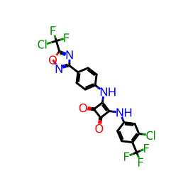 O=c1c(Nc2ccc(-c3noc(C(F)(F)Cl)n3)cc2)c(Nc2ccc(C(F)(F)F)c(Cl)c2)c1=O